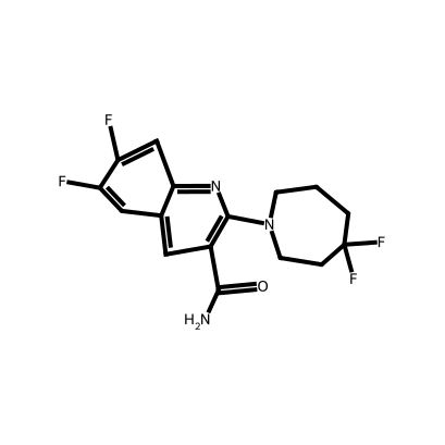 NC(=O)c1cc2cc(F)c(F)cc2nc1N1CCCC(F)(F)CC1